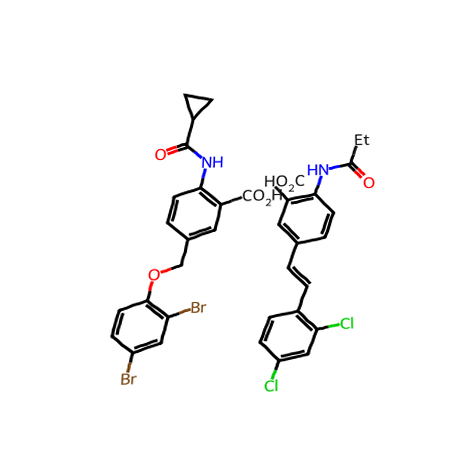 CCC(=O)Nc1ccc(/C=C/c2ccc(Cl)cc2Cl)cc1C(=O)O.O=C(O)c1cc(COc2ccc(Br)cc2Br)ccc1NC(=O)C1CC1